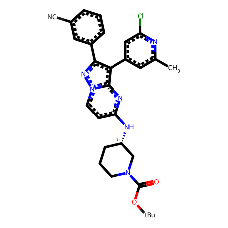 Cc1cc(-c2c(-c3cccc(C#N)c3)nn3ccc(N[C@H]4CCCN(C(=O)OC(C)(C)C)C4)nc23)cc(Cl)n1